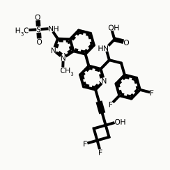 Cn1nc(NS(C)(=O)=O)c2cccc(-c3ccc(C#CC4(O)CC(F)(F)C4)nc3C(Cc3cc(F)cc(F)c3)NC(=O)O)c21